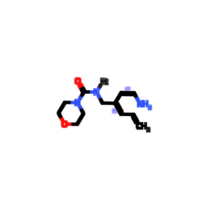 C=C/C=C(\C=C/N)CN(CC)C(=O)N1CCOCC1